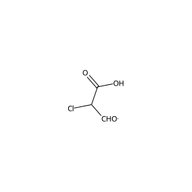 O=[C]C(Cl)C(=O)O